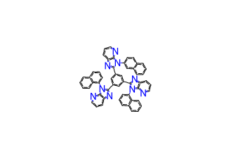 c1ccc2cc(-n3c(-c4cc(-c5nc6cccnc6n5-c5cccc6ccccc56)cc(-c5nc6cccnc6n5-c5cccc6ccccc56)c4)nc4cccnc43)ccc2c1